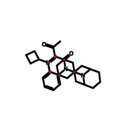 CC(=O)c1nc2ccccc2n(C2CC3CCCC(C2)N3C2CC3CC(CC(C4CCC4)C3)C2)c1=O